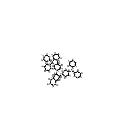 c1ccc(N(c2ccccc2)c2ccc(-c3nc4ccccc4nc3-c3ccc4c(c3)C(c3ccccc3)(c3ccccc3)c3ccccc3-4)cc2)cc1